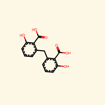 O=C(O)c1c(O)cccc1Cc1cccc(O)c1C(=O)O